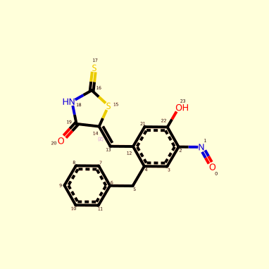 O=Nc1cc(Cc2ccccc2)c(/C=C2\SC(=S)NC2=O)cc1O